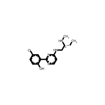 CC[C@H](CNc1ccnc(-c2cc(Cl)ccc2O)n1)NC